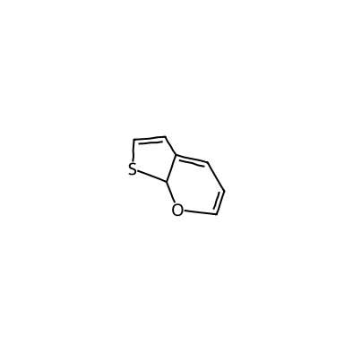 C1=COC2SC=CC2=C1